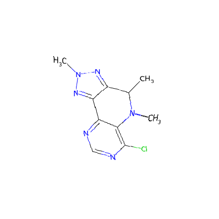 CC1c2nn(C)nc2-c2ncnc(Cl)c2N1C